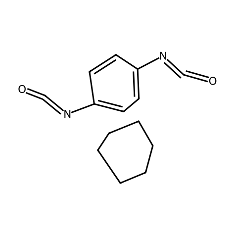 C1CCCCC1.O=C=Nc1ccc(N=C=O)cc1